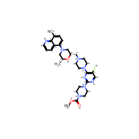 C[C@@H]1CN(c2ccc(C#N)c3ncccc23)C[C@H](CN2CCN(c3nc(N4CCN(C(=O)OC(C)(C)C)CC4)ncc3F)CC2)O1